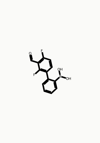 O=Cc1c(F)ccc(-c2ccccc2B(O)O)c1F